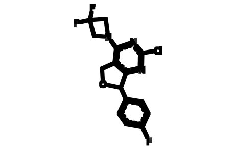 Fc1ccc(C2OCc3c2nc(Cl)nc3N2CC(F)(F)C2)cc1